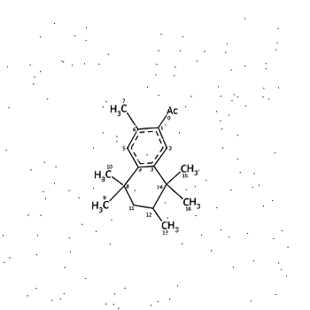 CC(=O)c1cc2c(cc1C)C(C)(C)CC(C)C2(C)C